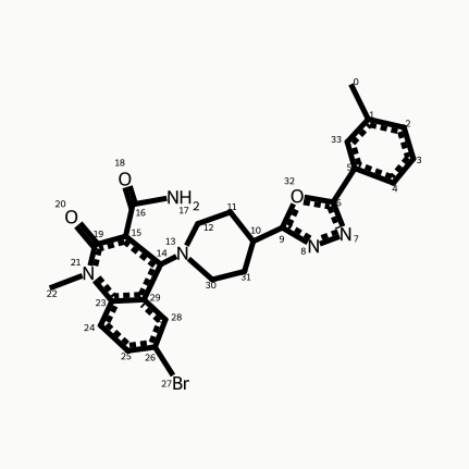 Cc1cccc(-c2nnc(C3CCN(c4c(C(N)=O)c(=O)n(C)c5ccc(Br)cc45)CC3)o2)c1